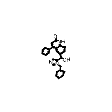 O=c1cc(-c2ccccc2)c2cc(C(O)c3cncn3Cc3ccccc3)ccc2[nH]1